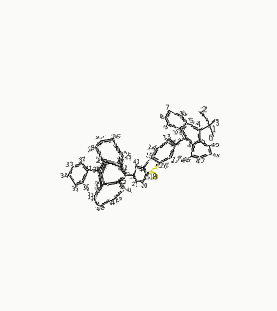 CC(C)(C)c1c2ccccc2c(-c2ccc3c(c2)sc2ccc(-c4c5ccccc5c(-c5ccccc5)c5ccccc45)cc23)c2ccccc12